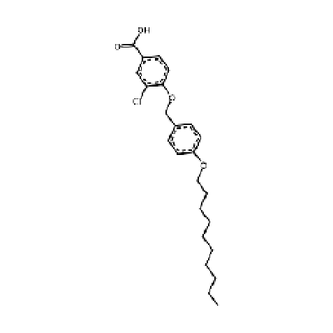 CCCCCCCCCCOc1ccc(COc2ccc(C(=O)O)cc2Cl)cc1